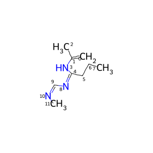 C=C(C)N/C(CCC)=N\C=N/C